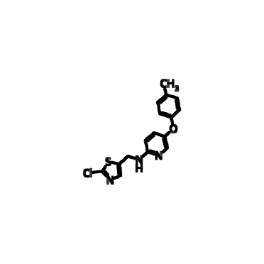 Cc1ccc(Oc2ccc(NCc3cnc(Cl)s3)nc2)cc1